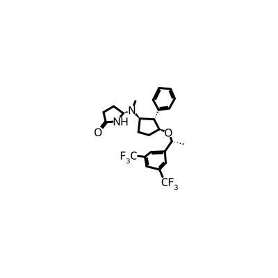 C[C@@H](O[C@H]1CC[C@@H](N(C)[C@H]2CCC(=O)N2)[C@@H]1c1ccccc1)c1cc(C(F)(F)F)cc(C(F)(F)F)c1